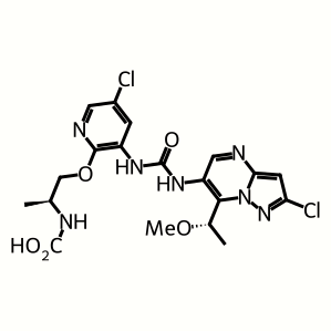 CO[C@@H](C)c1c(NC(=O)Nc2cc(Cl)cnc2OC[C@H](C)NC(=O)O)cnc2cc(Cl)nn12